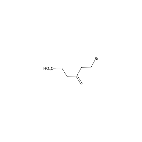 C=C(CCBr)CCC(=O)O